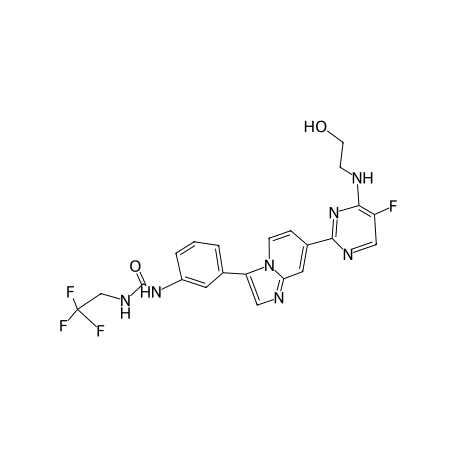 O=C(NCC(F)(F)F)Nc1cccc(-c2cnc3cc(-c4ncc(F)c(NCCO)n4)ccn23)c1